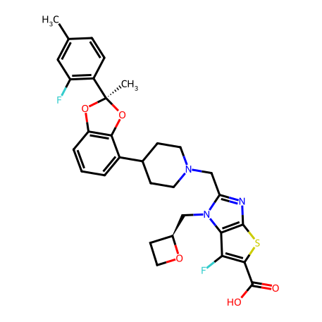 Cc1ccc([C@]2(C)Oc3cccc(C4CCN(Cc5nc6sc(C(=O)O)c(F)c6n5C[C@@H]5CCO5)CC4)c3O2)c(F)c1